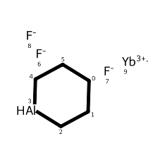 C1C[CH2][AlH][CH2]C1.[F-].[F-].[F-].[Yb+3]